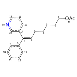 CC(=O)OCCCCCC=C(c1ccccc1)c1cccnc1